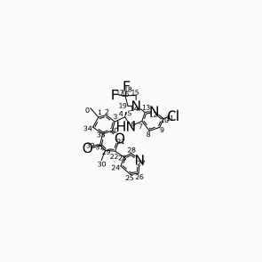 Cc1cc([C@@H](C)Nc2ccc(Cl)nc2N2CC(F)(F)C2)c2oc(-c3cccnc3)c(C)c(=O)c2c1